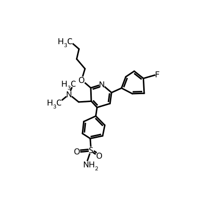 CCCCOc1nc(-c2ccc(F)cc2)cc(-c2ccc(S(N)(=O)=O)cc2)c1CN(C)C